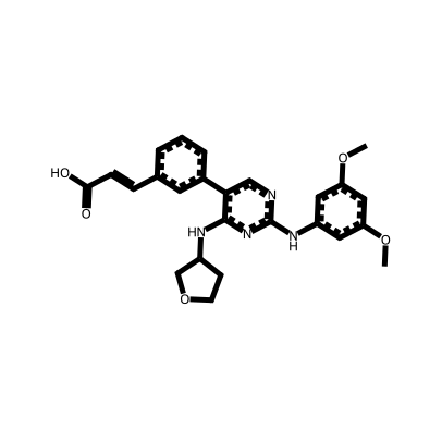 COc1cc(Nc2ncc(-c3cccc(/C=C/C(=O)O)c3)c(NC3CCOC3)n2)cc(OC)c1